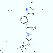 CCc1nc(-c2cccc([C@@H](CN3CC[C@H](O[Si](C)(C)C(C)(C)C)C3)NC)c2)no1